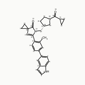 Cc1cc(-c2ccc3[nH]ccc3c2)ccc1C1=NC2(CC2)C(=O)N1C[C@@H]1CCN(C(=O)C2CC2)C1